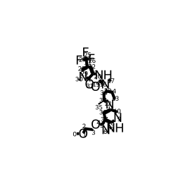 COCCOc1n[nH]c2ncc(N3CC[C@H](N(C)C(=O)Nc4cc(C(F)(F)F)cn(C)c4=O)C[C@@H]3C)cc12